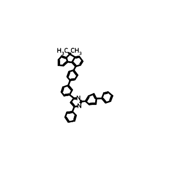 CC1(C)c2ccccc2-c2c(-c3ccc(-c4cccc(-c5cc(-c6ccccc6)nc(-c6ccc(-c7ccccc7)cc6)n5)c4)cc3)cccc21